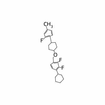 Cc1ccc(C2CCC(OCc3ccc(C4CCCCC4)c(F)c3F)CC2)c(F)c1